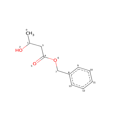 CC(O)CC(=O)OCc1ccccc1